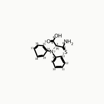 NC(=S)[C@@H](C(=O)O)N(c1ccccc1)c1ccccc1